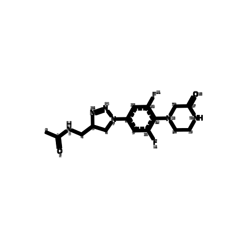 CC(=O)NCC1CN(c2cc(F)c(N3CCNC(=O)C3)c(F)c2)N=N1